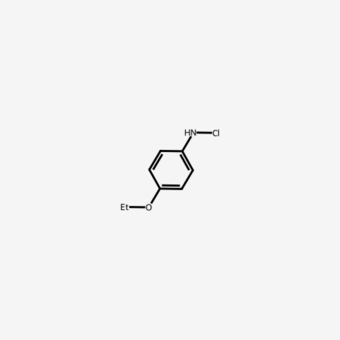 CCOc1ccc(NCl)cc1